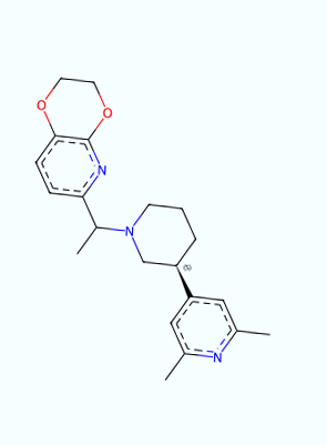 Cc1cc([C@@H]2CCCN(C(C)c3ccc4c(n3)OCCO4)C2)cc(C)n1